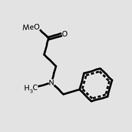 COC(=O)CCN(C)Cc1ccccc1